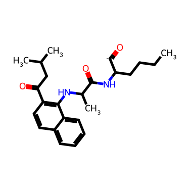 CCCCC([C]=O)NC(=O)C(C)Nc1c(C(=O)CC(C)C)ccc2ccccc12